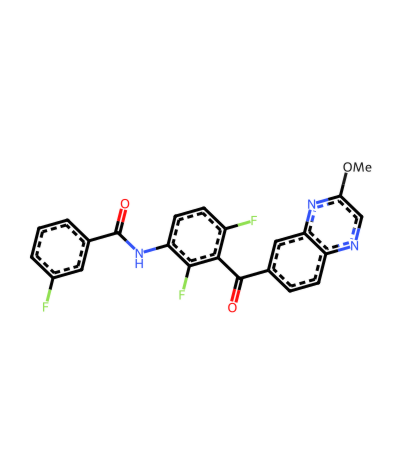 COc1cnc2ccc(C(=O)c3c(F)ccc(NC(=O)c4cccc(F)c4)c3F)cc2n1